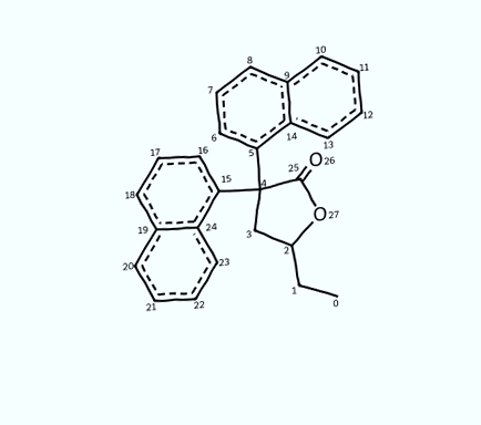 CCC1CC(c2cccc3ccccc23)(c2cccc3ccccc23)C(=O)O1